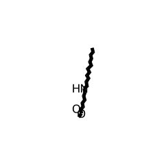 CCCCCCCCCCCCNCCCCCC(=O)OC